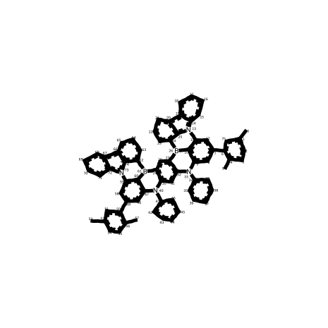 Cc1ccc(C)c(-c2cc3c4c(c2)-n2c5ccccc5c5cccc(c52)B4c2cc4c(cc2N3c2ccccc2)N(c2ccccc2)c2cc(-c3cc(C)ccc3C)cc3c2B4c2cccc4c5ccccc5n-3c24)c1